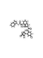 O=C(Cc1csc2ccccc12)Nc1cccc2cc(C(=O)Nc3ccc(Cl)cc3-c3noc(=O)[nH]3)[nH]c12